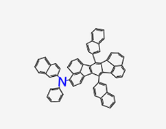 c1ccc(N(c2ccc3ccccc3c2)c2ccc3c4c(-c5ccc6ccccc6c5)c5c6cccc7cccc(c5c(-c5ccc8ccccc8c5)c4c4cccc2c43)c76)cc1